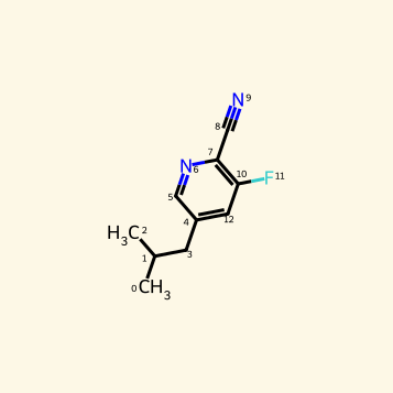 CC(C)Cc1cnc(C#N)c(F)c1